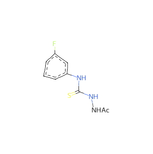 [CH2]C(=O)NNC(=S)Nc1cccc(F)c1